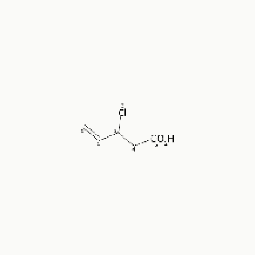 C=CC(Cl)CC(=O)O